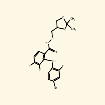 CCc1ccc(Nc2c(C(=O)NOCC3COC(C)(C)O3)ccc(F)c2F)c(F)c1